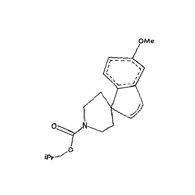 COc1ccc2c(c1)C=CC21CCN(C(=O)OC(C)C)CC1